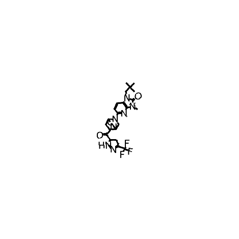 Cn1c(=O)n(CC(C)(C)C)c2ccc(N3CC4CCC3CN4C(=O)C3CC(C(F)(F)F)=NN3)nc21